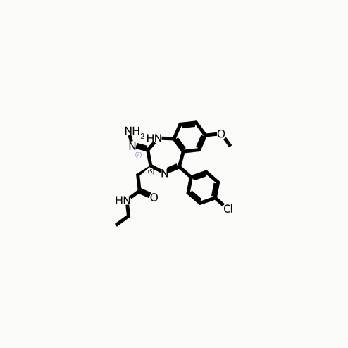 CCNC(=O)C[C@@H]1N=C(c2ccc(Cl)cc2)c2cc(OC)ccc2N/C1=N\N